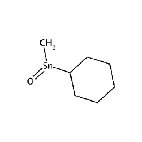 [CH3][Sn](=[O])[CH]1CCCCC1